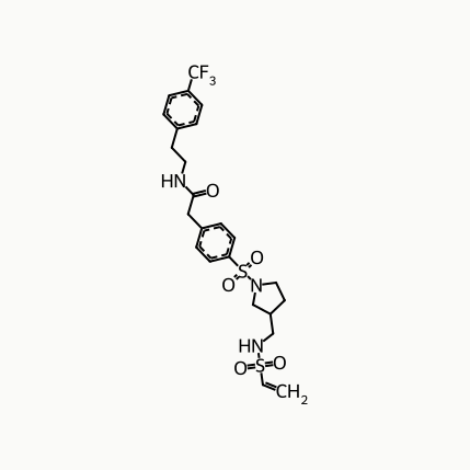 C=CS(=O)(=O)NCC1CCN(S(=O)(=O)c2ccc(CC(=O)NCCc3ccc(C(F)(F)F)cc3)cc2)C1